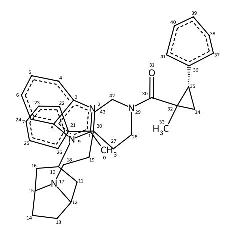 Cc1nc2ccccc2n1C1CC2CCC(C1)N2CCC1(c2ccccc2)CCN(C(=O)C2(C)C[C@H]2c2ccccc2)CC1